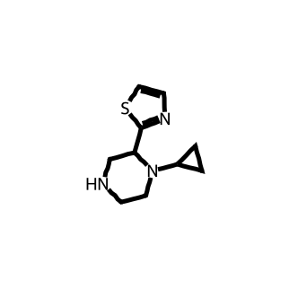 c1csc(C2CNCCN2C2CC2)n1